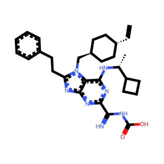 C=C[C@H]1CC[C@H](Cn2c(CCc3ccccc3)nc3nc(C(=N)NC(=O)O)nc(N[C@H](C)C4CCC4)c32)CC1